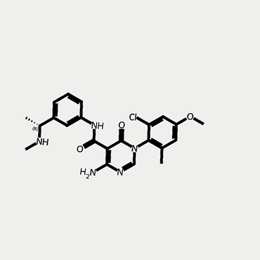 CN[C@H](C)c1cccc(NC(=O)c2c(N)ncn(-c3c(C)cc(OC)cc3Cl)c2=O)c1